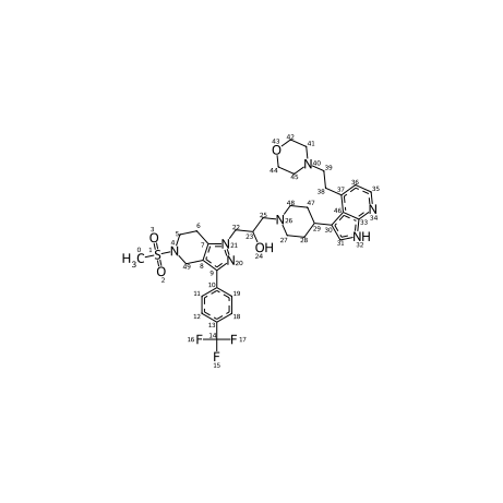 CS(=O)(=O)N1CCc2c(c(-c3ccc(C(F)(F)F)cc3)nn2CC(O)CN2CCC(c3c[nH]c4nccc(CCN5CCOCC5)c34)CC2)C1